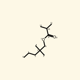 CCCC(C)(C)COC(=O)C(C)C